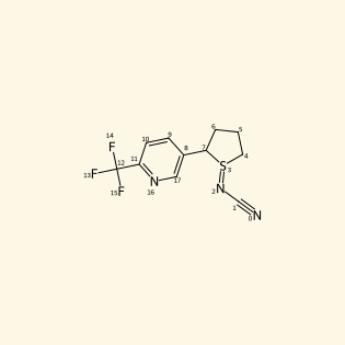 N#C/N=S1\CCCC1c1ccc(C(F)(F)F)nc1